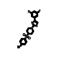 O=S(=O)(c1ccc(Br)cc1)C1CCN(c2nc(-c3cc(F)cc(F)c3)cs2)CC1